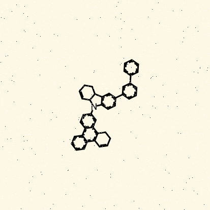 C1=Cc2c(c3cc(N4c5ccc(-c6cccc(-c7ccccc7)c6)cc5C5CCC=CC54)ccc3c3ccccc23)CC1